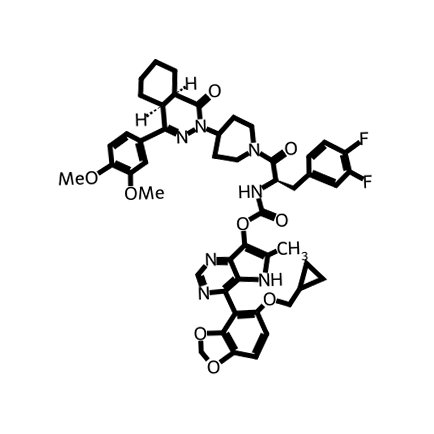 COc1ccc(C2=NN(C3CCN(C(=O)[C@@H](Cc4ccc(F)c(F)c4)NC(=O)Oc4c(C)[nH]c5c(-c6c(OCC7CC7)ccc7c6OCO7)ncnc45)CC3)C(=O)[C@@H]3CCCC[C@H]23)cc1OC